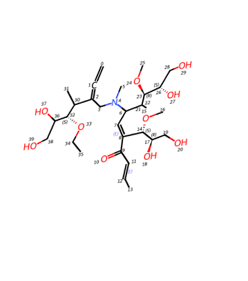 C=C=C(CN(C)C(/C=C(/C(=O)/C=C/C)[C@H](OC)[C@H](O)CO)C(C)[C@@H](OC)[C@@H](O)CO)C(C)[C@H](OCC)C(O)CO